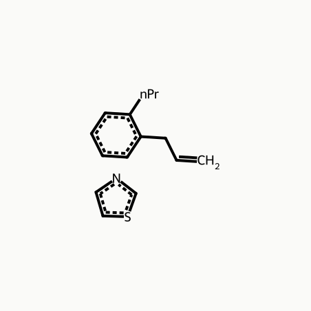 C=CCc1ccccc1CCC.c1cscn1